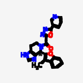 Cc1c([C@H]2c3nc[nH]c3CCN2C(=O)c2nnc(-c3cccnc3)o2)oc2ccccc12